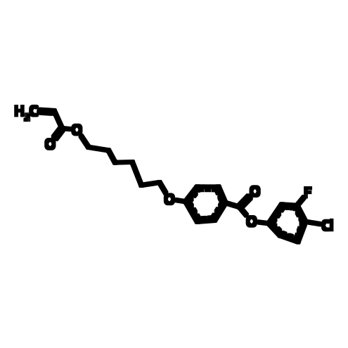 C=CC(=O)OCCCCCCOc1ccc(C(=O)Oc2ccc(Cl)c(F)c2)cc1